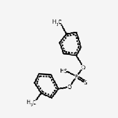 Cc1ccc(OP(=S)(S)Oc2cccc(C)c2)cc1